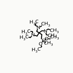 CCO[Si](C)(CCC(CN(CC)CC)(CN(CC)CC)CN(CC)CC)OCC